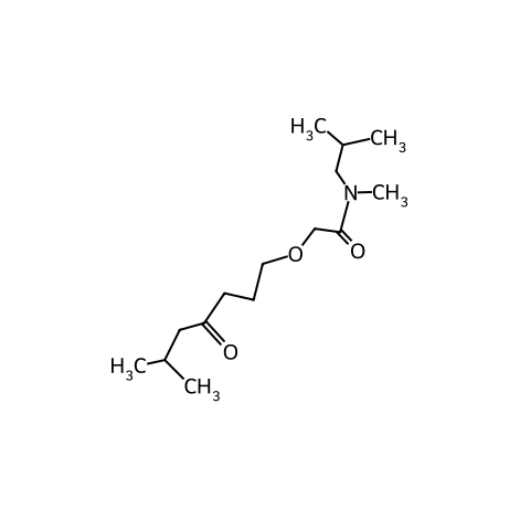 CC(C)CC(=O)CCCOCC(=O)N(C)CC(C)C